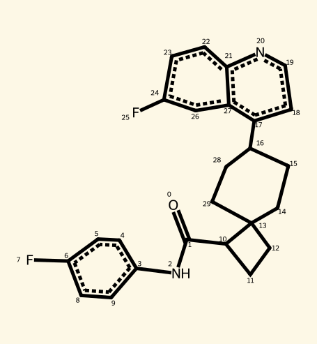 O=C(Nc1ccc(F)cc1)C1CCC12CCC(c1ccnc3ccc(F)cc13)CC2